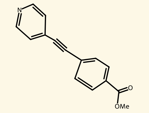 COC(=O)c1ccc(C#Cc2ccncc2)cc1